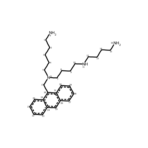 NCCCCCN(CCCCNCCCCN)Cc1c2ccccc2cc2ccccc12